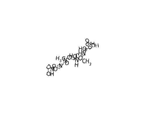 Cc1cc(NC(=O)Cc2cccc(N(C)C(=O)CCN3CCC(OC(=O)Nc4ccccc4-c4ccccc4)CC3)c2)c(C)cc1CNC[C@H](O)c1ccc(O)c2[nH]c(=O)ccc12